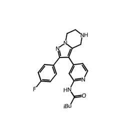 CCC(C)C(=O)Nc1cc(-c2c(-c3ccc(F)cc3)nn3c2CNCC3)ccn1